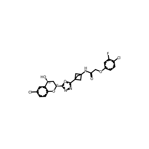 O=C(COc1ccc(Cl)c(F)c1)NC12CC(c3nnc([C@@H]4C[C@H](O)c5cc(Cl)ccc5O4)o3)(C1)C2